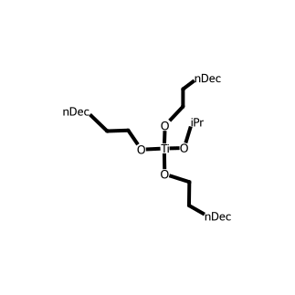 CCCCCCCCCCCC[O][Ti]([O]CCCCCCCCCCCC)([O]CCCCCCCCCCCC)[O]C(C)C